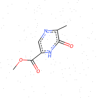 COC(=O)c1cnc(C)c(=O)[nH]1